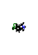 CC(C)N(C)[C@H](C)c1ccc(F)c(Cl)c1